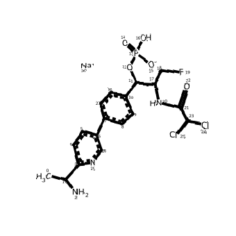 CC(N)c1ccc(-c2ccc(C(OP(=O)([O-])O)C(CF)NC(=O)C(Cl)Cl)cc2)cn1.[Na+]